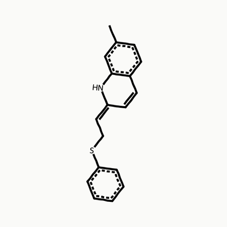 Cc1ccc2c(c1)N/C(=C/CSc1ccccc1)C=C2